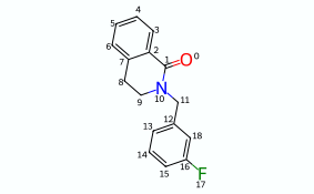 O=C1c2ccccc2CCN1Cc1cccc(F)c1